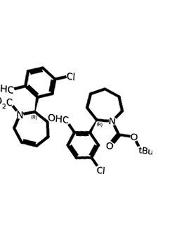 CC(C)(C)OC(=O)N1CCCCC[C@@H]1c1cc(Cl)ccc1C=O.O=Cc1ccc(Cl)cc1[C@H]1CCC=CCN1C(=O)O